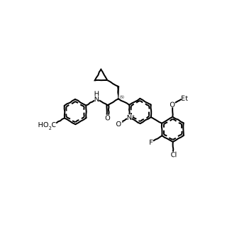 CCOc1ccc(Cl)c(F)c1-c1ccc([C@H](CC2CC2)C(=O)Nc2ccc(C(=O)O)cc2)[n+]([O-])c1